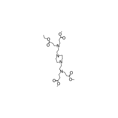 CCOC(=O)CCN(CCC(=O)OC)CCN1CCN(CCN(CCC(=O)OC)CCC(=O)OC)CC1